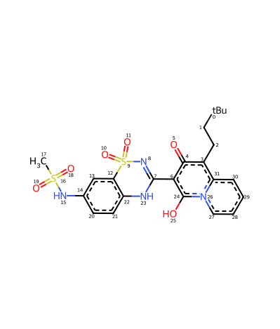 CC(C)(C)CCc1c(=O)c(C2=NS(=O)(=O)c3cc(NS(C)(=O)=O)ccc3N2)c(O)n2ccccc12